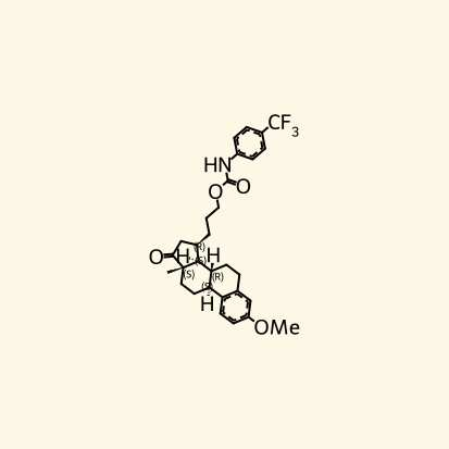 COc1ccc2c(c1)CC[C@H]1[C@@H]3[C@H](CCCOC(=O)Nc4ccc(C(F)(F)F)cc4)CC(=O)[C@@]3(C)CC[C@H]21